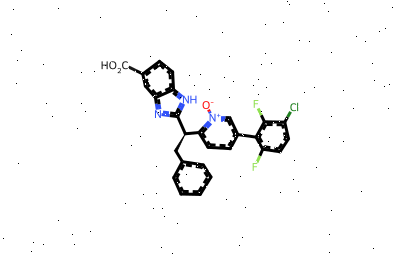 O=C(O)c1ccc2[nH]c([C@H](Cc3ccccc3)c3ccc(-c4c(F)ccc(Cl)c4F)c[n+]3[O-])nc2c1